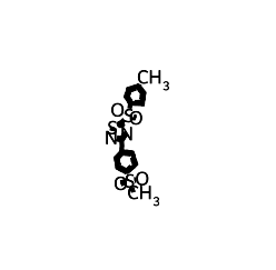 Cc1ccc(S(=O)(=O)c2nc(-c3ccc(S(C)(=O)=O)cc3)ns2)cc1